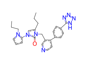 CCCc1cn(-c2cccn2CCC)c(=O)n1Cc1cnccc1-c1ccc(-c2nnn[nH]2)cc1